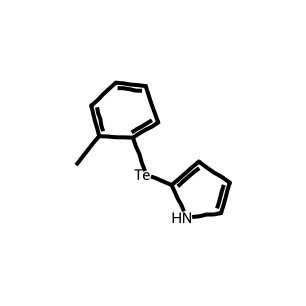 Cc1ccccc1[Te]c1ccc[nH]1